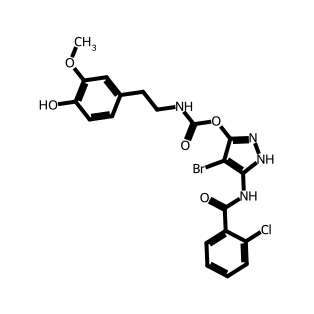 COc1cc(CCNC(=O)Oc2n[nH]c(NC(=O)c3ccccc3Cl)c2Br)ccc1O